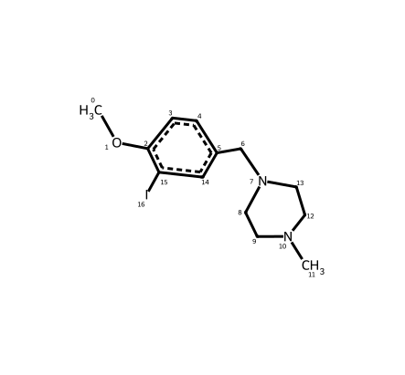 COc1ccc(CN2CCN(C)CC2)cc1I